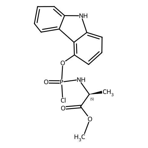 COC(=O)[C@H](C)NP(=O)(Cl)Oc1cccc2[nH]c3ccccc3c12